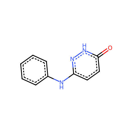 O=c1ccc(Nc2ccccc2)n[nH]1